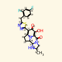 CC1CN2C(=O)c3c(O)c(=O)c(-c4nnc(Cc5ccc(F)cc5F)s4)c4n3C(CC4)C2N1